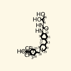 O=C(NCC(O)CO)Nc1ccc(CC2CCN(Cc3ccc(C(O)(C(F)(F)F)C(F)(F)F)cc3)CC2)cc1